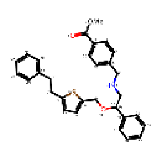 COC(=O)c1ccc(CNC[C@H](OCc2ccc(CCc3ccccc3)s2)c2ccccc2)cc1